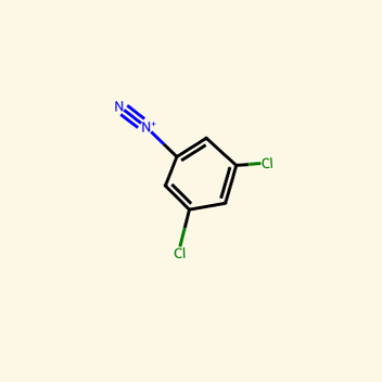 N#[N+]c1cc(Cl)cc(Cl)c1